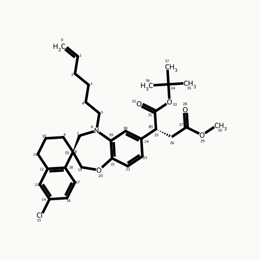 C=CCCCCN1C[C@@]2(CCCc3cc(Cl)ccc32)COc2ccc([C@@H](CC(=O)OC)C(=O)OC(C)(C)C)cc21